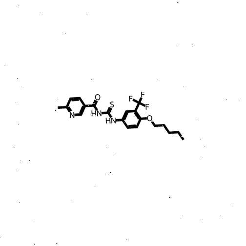 CCCCCOc1ccc(NC(=S)NC(=O)c2ccc(C)nc2)cc1C(F)(F)F